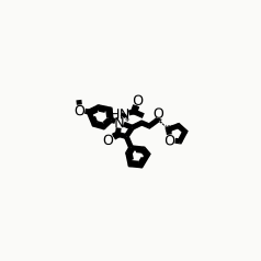 COc1ccc([N+]2(NC(C)=O)C(=O)C(c3ccccc3)C2CCC(=O)[C@@H]2CCCO2)cc1